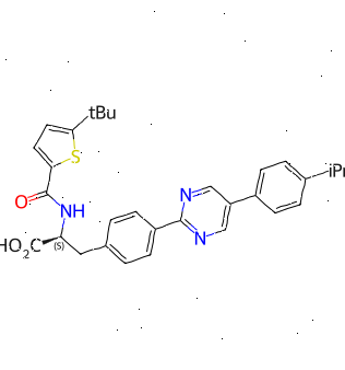 CC(C)c1ccc(-c2cnc(-c3ccc(C[C@H](NC(=O)c4ccc(C(C)(C)C)s4)C(=O)O)cc3)nc2)cc1